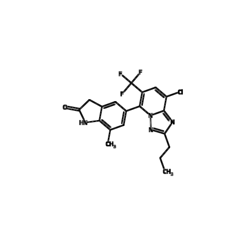 CCCc1nc2c(Cl)cc(C(F)(F)F)c(-c3cc(C)c4c(c3)CC(=O)N4)n2n1